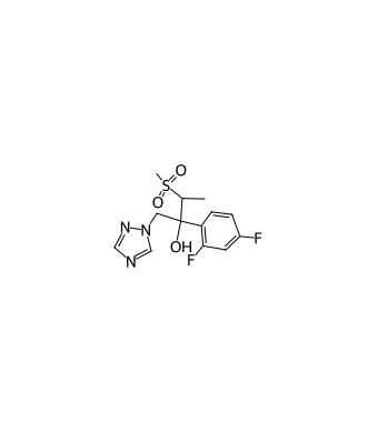 CC(C(O)(Cn1cncn1)c1ccc(F)cc1F)S(C)(=O)=O